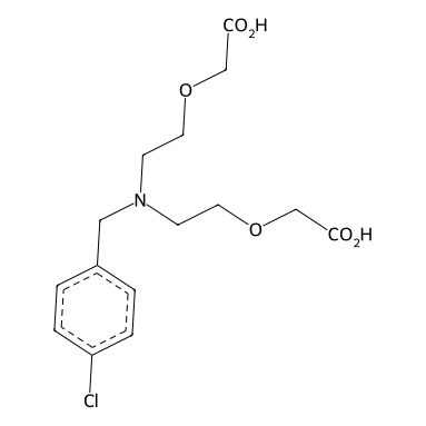 O=C(O)COCCN(CCOCC(=O)O)Cc1ccc(Cl)cc1